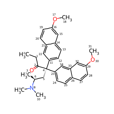 CCC(=O)[C@@](C[C@H](C)N(C)C)(c1ccc2cc(OC)ccc2c1)c1ccc2ccc(OC)cc2c1